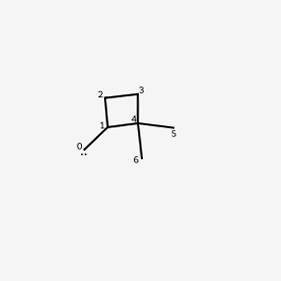 [CH]C1CCC1(C)C